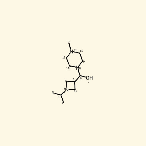 CC(C)N1CC(C(O)N2CCN(C)CC2)C1